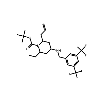 C=CCC1CC(NCc2cc(C(F)(F)F)cc(C(F)(F)F)c2)CC(CC)N1C(=O)OC(C)(C)C